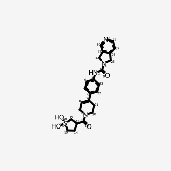 O=C(Nc1ccc(C2=CCN(C(=O)C3CCS(O)(O)C3)CC2)cc1)N1Cc2ccncc2C1